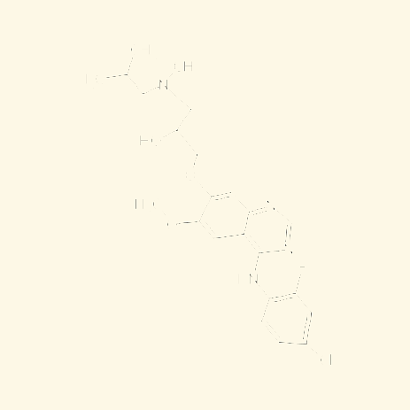 COc1cc2c(Nc3ccc(Cl)cc3F)ncnc2cc1OCC(O)CN(C)CC(C)C